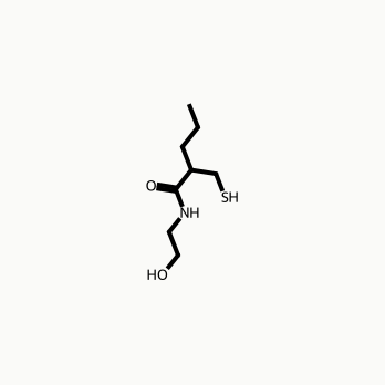 CCCC(CS)C(=O)NCCO